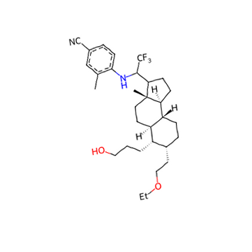 CCOCC[C@H]1CC[C@@H]2[C@H](CC[C@]3(C)C(C(Nc4ccc(C#N)cc4C)C(F)(F)F)CC[C@@H]23)[C@H]1CCCO